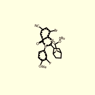 CCCCOC(=O)N1C2CCC1C(c1nc3c(Br)cc(C#N)cc3c(=O)n1-c1ccc(OC)c(F)c1)C2